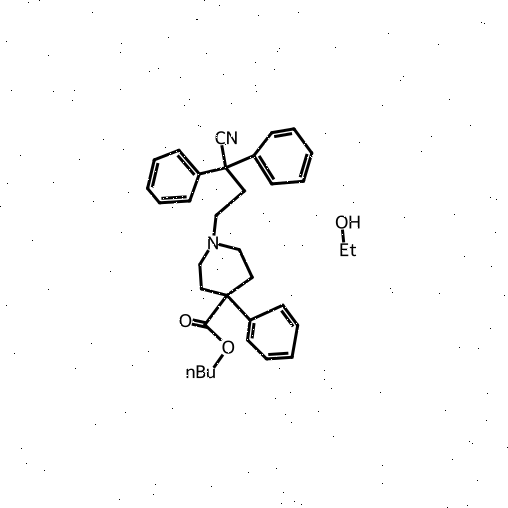 CCCCOC(=O)C1(c2ccccc2)CCN(CCC(C#N)(c2ccccc2)c2ccccc2)CC1.CCO